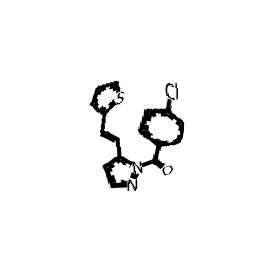 O=C(c1ccc(Cl)cc1)n1nccc1/C=C/c1cccs1